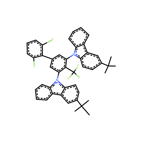 CC(C)(C)c1ccc2c(c1)c1ccccc1n2-c1cc(-c2c(F)cccc2F)cc(-n2c3ccccc3c3cc(C(C)(C)C)ccc32)c1C(F)(F)F